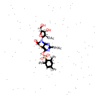 CC(=O)Nc1nc(OS(=O)(=O)c2c(C(C)C)cc(C(C)C)cc2C(C)C)c2sc(=O)n([C@@H]3O[C@H](CO)[C@@H](O)[C@H]3OC(C)=O)c2n1